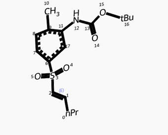 CCC/C=C/S(=O)(=O)c1ccc(C)c(NC(=O)OC(C)(C)C)c1